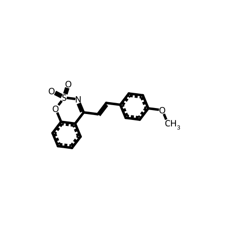 COc1ccc(C=CC2=NS(=O)(=O)Oc3ccccc32)cc1